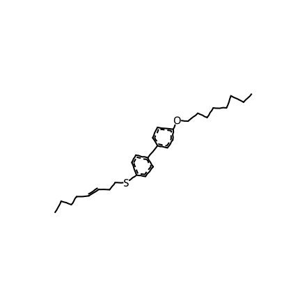 CCCC/C=C/CCSc1ccc(-c2ccc(OCCCCCCCC)cc2)cc1